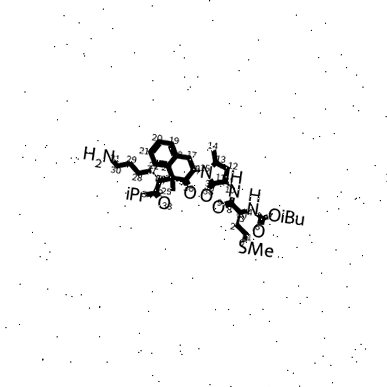 CSCC[C@H](NC(=O)OCC(C)C)C(=O)N[C@H]1CC(C)N([C@H]2Cc3ccccc3C(C)([C@@H](CCCCN)C(=O)C(C)C)C2=O)C1=O